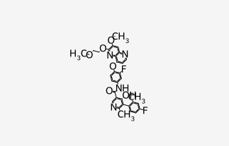 COCCOc1nc2c(Oc3ccc(NC(=O)c4cnc(C)c(-c5ccc(F)cc5C)c4O)cc3F)ccnc2cc1OC